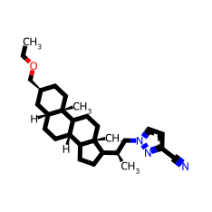 CCOC[C@H]1CC[C@]2(C)C3CC[C@@]4(C)C(CCC4[C@H](C)Cn4ccc(C#N)n4)[C@@H]3CC[C@@H]2C1